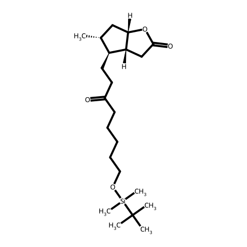 C[C@@H]1C[C@@H]2OC(=O)C[C@@H]2[C@H]1CCC(=O)CCCCCO[Si](C)(C)C(C)(C)C